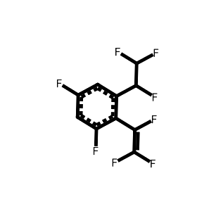 FC(F)=C(F)c1c(F)cc(F)cc1C(F)C(F)F